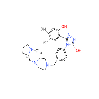 CC(C)c1cc(-c2nnc(O)n2-c2ccc(CN3CCN(C[C@H]4CCCN4C)CC3)cc2)c(O)cc1N=O